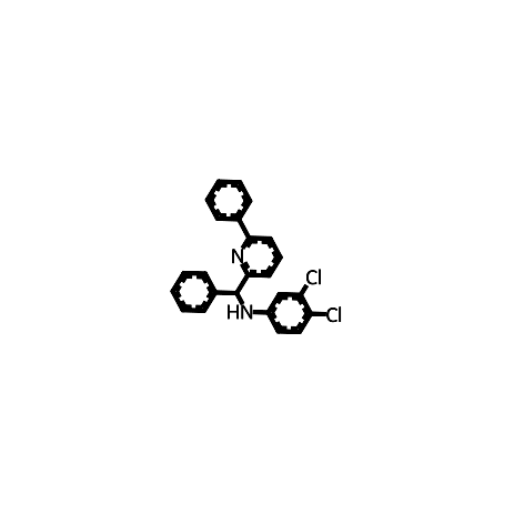 Clc1ccc(NC(c2ccccc2)c2cccc(-c3ccccc3)n2)cc1Cl